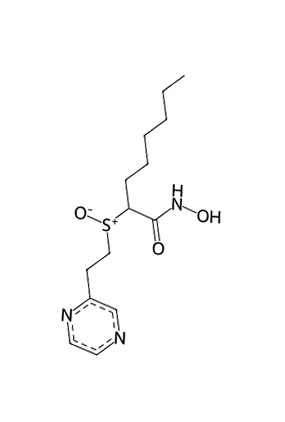 CCCCCCC(C(=O)NO)[S+]([O-])CCc1cnccn1